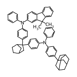 CC1(C)c2ccccc2-c2ccc(N(c3ccccc3)c3ccc(C4(c5ccc(N(c6ccccc6)c6ccc(C78CC9CC(CC(C9)C7)C8)cc6)cc5)CC5CCC4C5)cc3)cc21